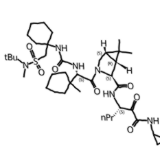 CCC[C@H](NC(=O)[C@@H]1[C@@H]2[C@H](CN1C(=O)[C@@H](NC(=O)NC1(CS(=O)(=O)N(C)C(C)(C)C)CCCCC1)C1(C)CCCCC1)C2(C)C)C(=O)C(=O)NC1CC1